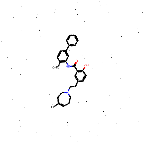 CCC1=CCCN(CCc2ccc(O)c(C(=O)Nc3cc(-c4ccccc4)ccc3C=O)c2)CC1